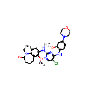 CCN1C(=O)CCCc2c1ccc(Nc1ncc(Cl)c(Nc3ccc(N4CCOCC4)cc3OC)n1)c2OC